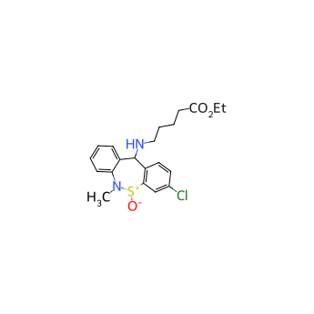 CCOC(=O)CCCCNC1c2ccccc2N(C)[S+]([O-])c2cc(Cl)ccc21